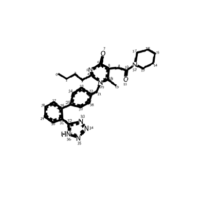 CCCCc1nc(=O)c(CC(=O)N2CCCCC2)c(C)n1Cc1ccc(-c2ccccc2-c2nnn[nH]2)cc1